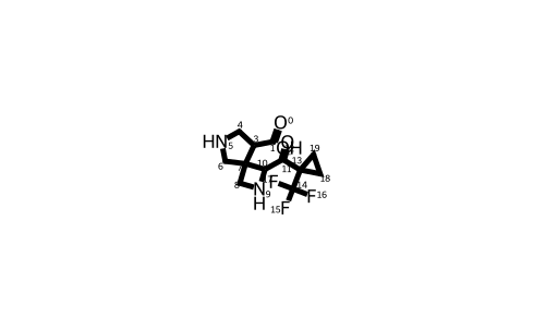 O=C(O)C1CNCC12CNC2C(=O)C1(C(F)(F)F)CC1